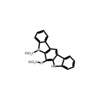 CCOC(=O)Oc1c2[nH]c3ccccc3c2cc2c3ccccc3n(C(=O)OCC)c12